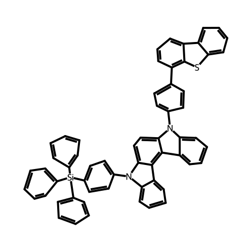 c1ccc([Si](c2ccccc2)(c2ccccc2)c2ccc(-n3c4ccccc4c4c5c6ccccc6n(-c6ccc(-c7cccc8c7sc7ccccc78)cc6)c5ccc43)cc2)cc1